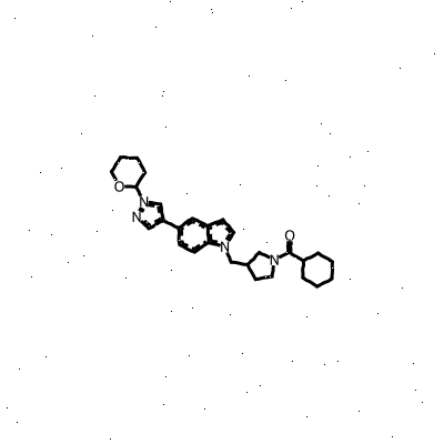 O=C(C1CCCCC1)N1CCC(Cn2ccc3cc(-c4cnn(C5CCCCO5)c4)ccc32)C1